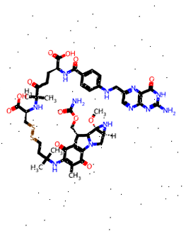 CO[C@]12N[C@H]1CN1C3=C(C(=O)C(NC(C)(C)CCSSC[C@H](NC(C)(C)C(=O)CC[C@H](NC(=O)c4ccc(NCc5cnc6nc(N)[nH]c(=O)c6n5)cc4)C(=O)O)C(=O)O)=C(C)C3=O)[C@@H](COC(N)=O)C12